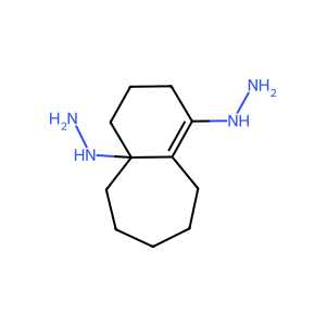 NNC1=C2CCCCCC2(NN)CCC1